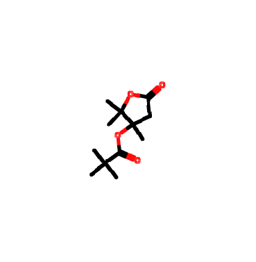 CC(C)(C)C(=O)OC1(C)CC(=O)OC1(C)C